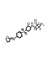 CC(O)(C(=O)Nc1ccc(S(=O)(=O)c2ccc(NCc3ccco3)cc2)cc1Cl)C(F)(F)F